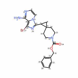 Nc1nccn2c(C3CC34CCN(C(=O)OCc3ccccc3)CC4)nc(Br)c12